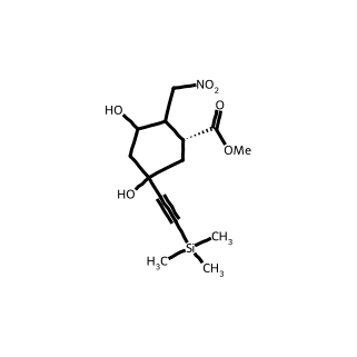 COC(=O)[C@@H]1CC(O)(C#C[Si](C)(C)C)CC(O)C1C[N+](=O)[O-]